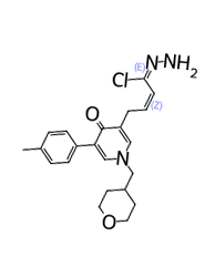 Cc1ccc(-c2cn(CC3CCOCC3)cc(C/C=C\C(Cl)=N/N)c2=O)cc1